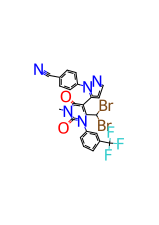 Cn1c(=O)c(-c2ccnn2-c2ccc(C#N)cc2)c(C(Br)Br)n(-c2cccc(C(F)(F)F)c2)c1=O